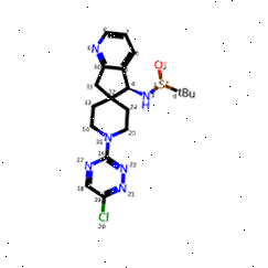 CC(C)(C)[S+]([O-])N[C@@H]1c2cccnc2CC12CCN(c1ncc(Cl)nn1)CC2